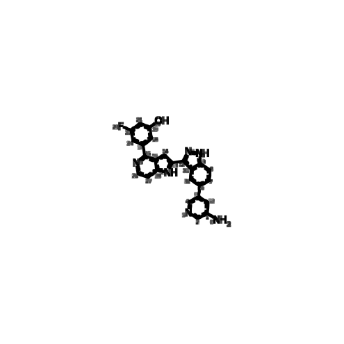 Nc1cncc(-c2ccc3[nH]nc(-c4cc5c(-c6cc(O)cc(F)c6)nccc5[nH]4)c3c2)c1